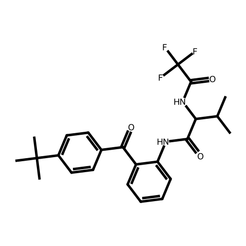 CC(C)C(NC(=O)C(F)(F)F)C(=O)Nc1ccccc1C(=O)c1ccc(C(C)(C)C)cc1